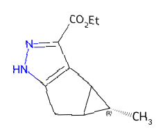 CCOC(=O)c1n[nH]c2c1C1C(C2)[C@H]1C